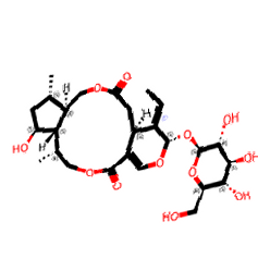 C/C=C1/[C@H](O[C@@H]2O[C@H](CO)[C@@H](O)[C@H](O)[C@H]2O)OC=C2C(=O)OC[C@H](C)[C@H]3[C@H](COC(=O)C[C@H]21)[C@@H](C)C[C@@H]3O